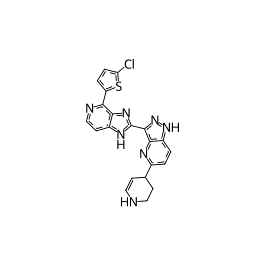 Clc1ccc(-c2nccc3[nH]c(-c4n[nH]c5ccc(C6C=CNCC6)nc45)nc23)s1